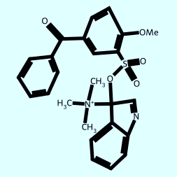 COc1ccc(C(=O)c2ccccc2)cc1S(=O)(=O)OC1([N+](C)(C)C)C=Nc2ccccc21